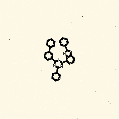 c1ccc(-c2cccc(-c3nc(-c4ccccc4)nc(-c4cccc5sc(-c6ccccc6)nc45)n3)c2)cc1